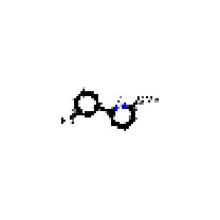 CCc1cccc(-c2cccc(OC)n2)c1